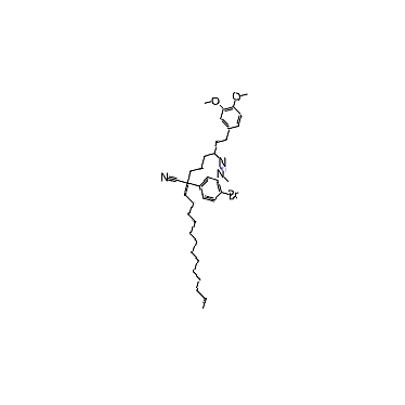 CCCCCCCCCCCCCC(C#N)(CCCC(CCc1ccc(OC)c(OC)c1)/N=N/C)c1ccc(Br)cc1